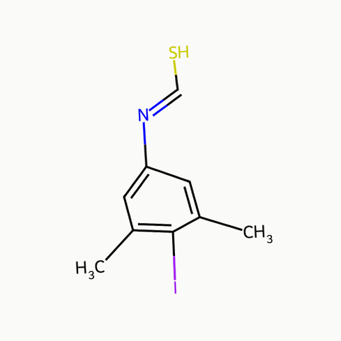 Cc1cc(N=CS)cc(C)c1I